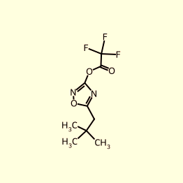 CC(C)(C)Cc1nc(OC(=O)C(F)(F)F)no1